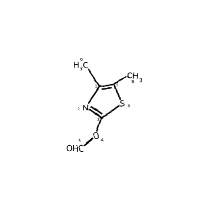 Cc1nc(OC=O)sc1C